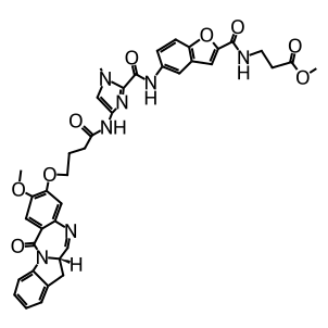 COC(=O)CCNC(=O)c1cc2cc(NC(=O)c3nc(NC(=O)CCCOc4cc5c(cc4OC)C(=O)N4c6ccccc6C[C@H]4C=N5)cn3C)ccc2o1